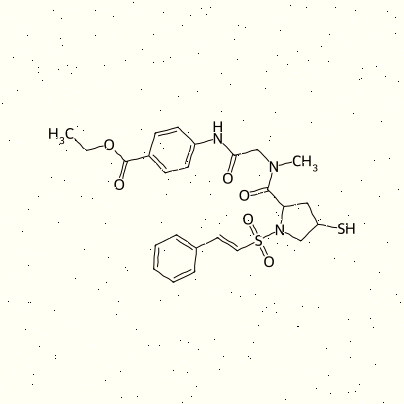 CCOC(=O)c1ccc(NC(=O)CN(C)C(=O)C2CC(S)CN2S(=O)(=O)C=Cc2ccccc2)cc1